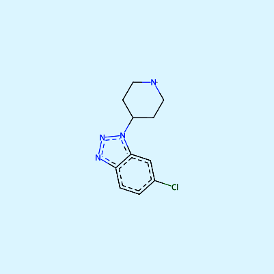 Clc1ccc2nnn(C3CC[N]CC3)c2c1